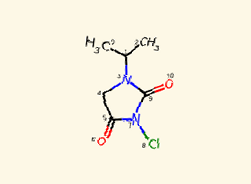 CC(C)N1CC(=O)N(Cl)C1=O